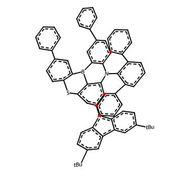 CC(C)(C)c1ccc2c(c1)c1cc(C(C)(C)C)ccc1n2-c1cc2c3c(c1)N(c1c(-c4ccccc4)cccc1-c1ccccc1)c1ccc(-c4ccccc4)cc1B3c1cc(-c3ccccc3)ccc1S2